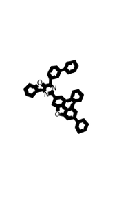 c1ccc(-c2cccc(-c3nc(-c4cc5oc6cc(-c7ccccc7)cc7c8ccccc8c(c4)c5c67)nc4c3oc3ccccc34)c2)cc1